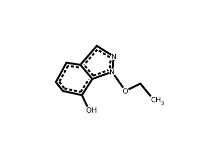 CCOn1ncc2cccc(O)c21